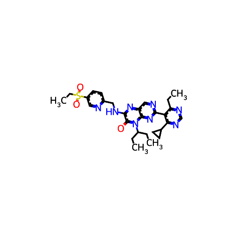 CCc1ncnc(C2CC2)c1-c1ncc2nc(NCc3ccc(S(=O)(=O)CC)cn3)c(=O)n(C(CC)CC)c2n1